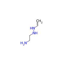 C=CNNCCN